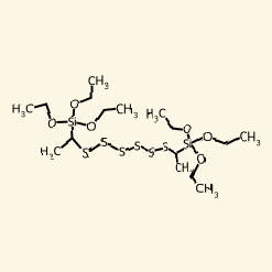 CCO[Si](OCC)(OCC)C(C)SSSSSSC(C)[Si](OCC)(OCC)OCC